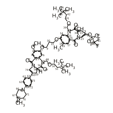 COc1cc2c(cc1OCCCOc1cc3c(cc1C)C(=O)N1C=C(OS(=O)(=O)C(F)(F)F)C[C@@]1(C)C(=O)N3COCC[Si](C)(C)C)N(COCC[Si](C)(C)C)C(=O)[C@@H]1CC(c3ccc(N4CCN(C)CC4)cc3)=CN1C2=O